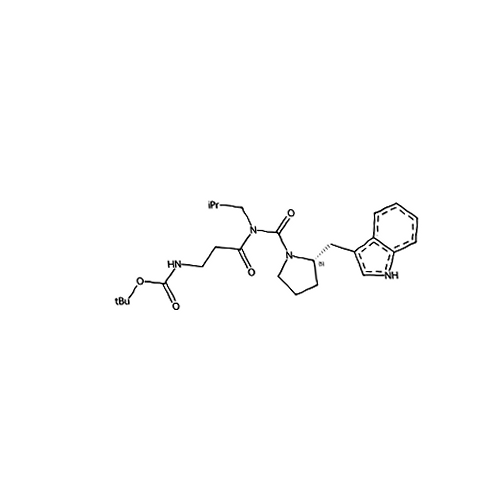 CC(C)CN(C(=O)CCNC(=O)OC(C)(C)C)C(=O)N1CCC[C@H]1Cc1c[nH]c2ccccc12